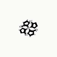 CCC1=[C]([Hf]([C]2=C(CC)C=CC2)([C]2=C(CC)C=CC2)[C]2=C(CC)C=CC2)CC=C1